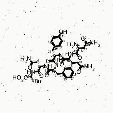 CC[C@H](C)[C@H](NC(=O)[C@H](CC(N)=O)NC(=O)[C@H](Cc1ccccc1)NC(=O)[C@H](Cc1ccc(O)cc1)NC(=O)[C@H](CCC(N)=O)NC(=O)[C@@H](N)CC(N)=O)C(=O)O